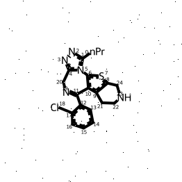 CCCc1nnc2n1-c1sc3c(c1C(c1ccccc1Cl)=NC2)CCNC3